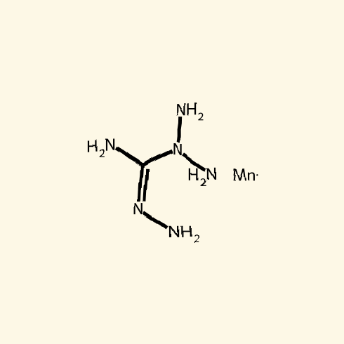 NN=C(N)N(N)N.[Mn]